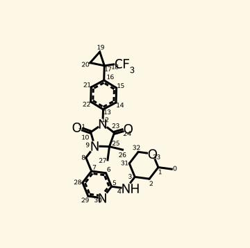 CC1CC(Nc2cc(CN3C(=O)N(c4ccc(C5(C(F)(F)F)CC5)cc4)C(=O)C3(C)C)ccn2)CCO1